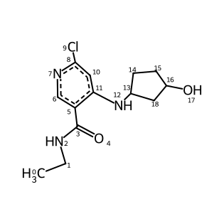 CCNC(=O)c1cnc(Cl)cc1NC1CCC(O)C1